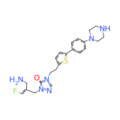 NC/C(=C\F)Cn1ncn(CCc2ccc(-c3ccc(N4CCNCC4)cc3)s2)c1=O